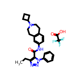 CCc1nnn(-c2ccccc2)c1C(=O)Nc1ccc2c(c1)CCN(C1CCC1)CC2.O=C(O)C(F)(F)F